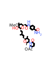 COC1(C)C[C@@H](CC(=O)Nc2ccc(C(N)=O)cc2)O[C@H](/C=C/C(C)=C/C[C@@H]2O[C@H](C)C(NC(=O)/C=C\C(C)OC(C)=O)CC2C)[C@H]1O